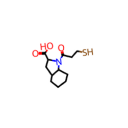 O=C(O)C1CC2CCCCC2N1C(=O)CCS